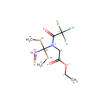 CCOC(=O)CN(C(=O)C(F)(F)F)C([PH2]=S)(SC)SC